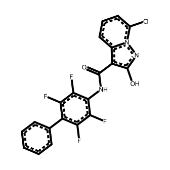 O=C(Nc1c(F)c(F)c(-c2ccccc2)c(F)c1F)c1c(O)nn2c(Cl)cccc12